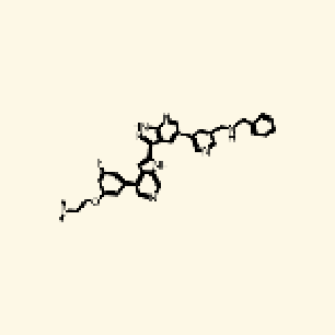 CN(C)CCOc1cc(F)cc(-c2cncc3[nH]c(-c4n[nH]c5ncc(-c6cncc(CNCc7ccccc7)c6)cc45)cc23)c1